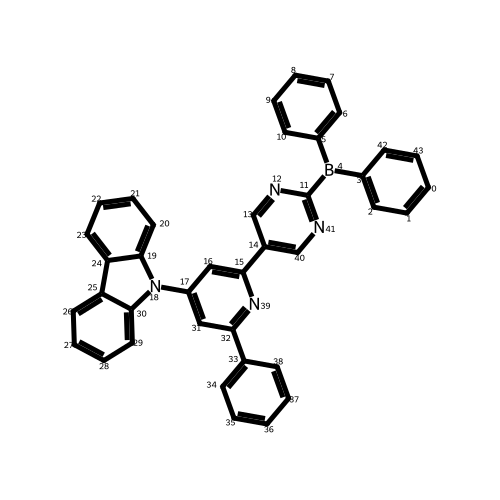 c1ccc(B(c2ccccc2)c2ncc(-c3cc(-n4c5ccccc5c5ccccc54)cc(-c4ccccc4)n3)cn2)cc1